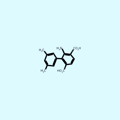 Cc1cc(C)cc(-c2c(C(=O)O)ccc(C(=O)O)c2[SiH3])c1